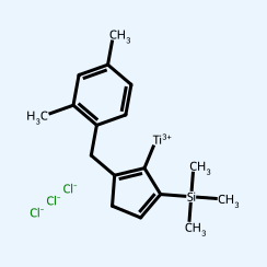 Cc1ccc(CC2=[C]([Ti+3])C([Si](C)(C)C)=CC2)c(C)c1.[Cl-].[Cl-].[Cl-]